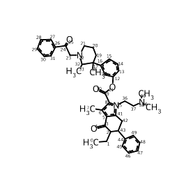 CCC1C(=O)c2c(C)c(C(=O)Oc3cccc(C4(C)CCCN(CC(=O)c5ccccc5)C4C)c3)n(CCN(C)C)c2CC1c1ccccc1